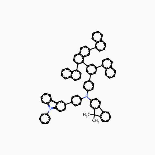 CC1(C)c2ccccc2-c2ccc(N(c3ccc(-c4cc(-c5cccc6ccccc56)cc(-c5c(-c6cccc7ccccc67)ccc6ccc(-c7cccc8ccccc78)cc56)c4)cc3)c3ccc(-c4ccc5c(c4)c4ccccc4n5-c4ccccc4)cc3)cc21